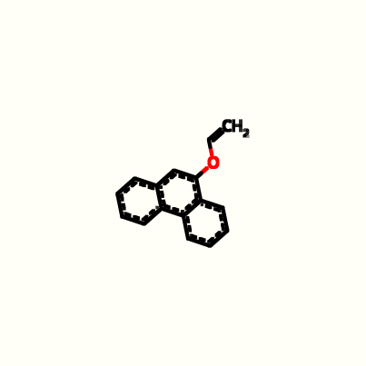 C=COc1cc2ccccc2c2ccccc12